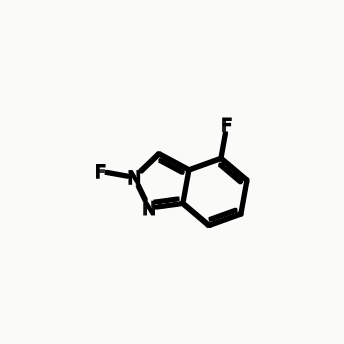 Fc1cccc2nn(F)cc12